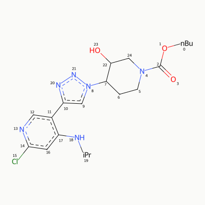 CCCCOC(=O)N1CCC(n2cc(-c3cnc(Cl)cc3NC(C)C)nn2)C(O)C1